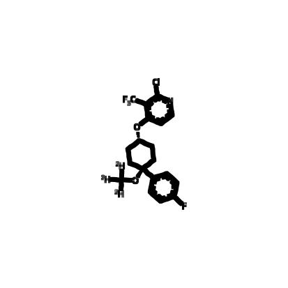 [2H]C([2H])([2H])O[C@]1(c2ccc(F)cc2)CC[C@@H](Oc2ccnc(Cl)c2C(F)(F)F)CC1